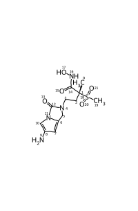 C[C@@](CCN1Cc2cc(N)cn2C1=O)(C(=O)NO)S(C)(=O)=O